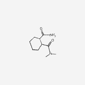 CN(C)C(=O)C1CCCCC1C(N)=O